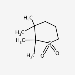 CC1(C)CCCS(=O)(=O)C1(C)C